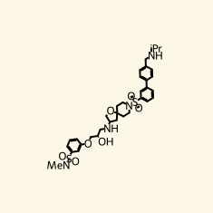 CNS(=O)(=O)c1cccc(OC[C@@H](O)CNC2COC3(CCN(S(=O)(=O)c4cccc(-c5ccc(CNC(C)C)cc5)c4)CC3)C2)c1